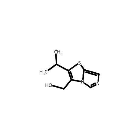 CC(C)c1sc2cncn2c1CO